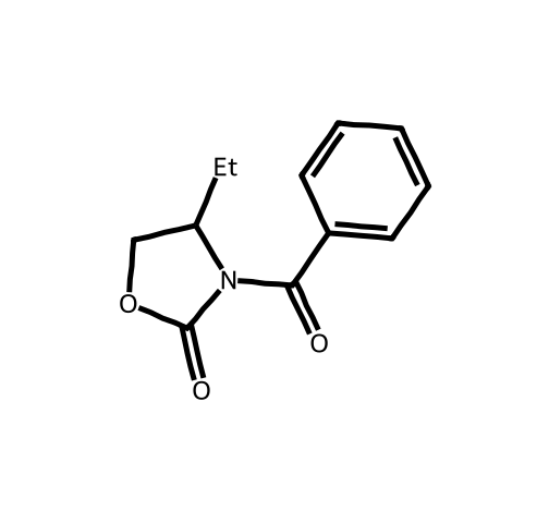 CCC1COC(=O)N1C(=O)c1ccccc1